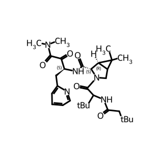 CN(C)C(=O)C(=O)[C@H](Cc1ccccn1)NC(=O)[C@@H]1[C@@H]2C(CN1C(=O)C(NC(=O)CC(C)(C)C)C(C)(C)C)C2(C)C